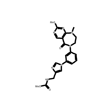 COC(=O)NCc1cn(-c2cccc(N3CCN(C)c4nc(SC)ncc4C3=O)c2)cn1